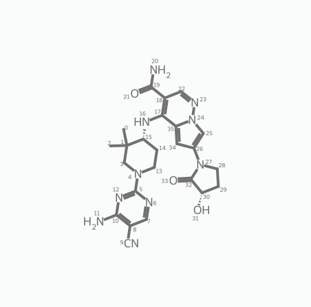 CC1(C)CN(c2ncc(C#N)c(N)n2)CC[C@H]1Nc1c(C(N)=O)cnn2cc(N3CC[C@H](O)C3=O)cc12